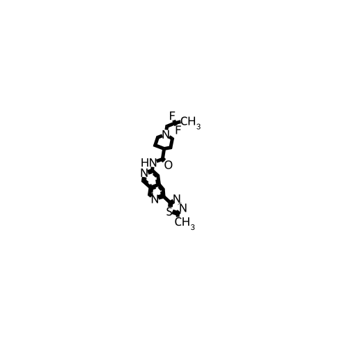 Cc1nnc(-c2cc3cc(NC(=O)C4CCN(CC(C)(F)F)CC4)ncc3cn2)s1